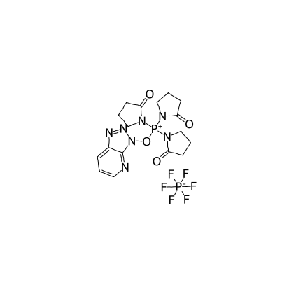 F[P-](F)(F)(F)(F)F.O=C1CCCN1[P+](On1nnc2cccnc21)(N1CCCC1=O)N1CCCC1=O